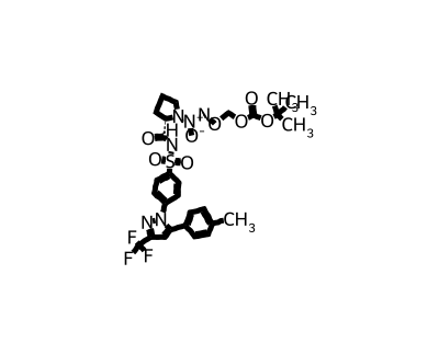 Cc1ccc(-c2cc(C(F)(F)F)nn2-c2ccc(S(=O)(=O)NC(=O)[C@@H]3CCCN3/[N+]([O-])=N/OCOC(=O)OC(C)(C)C)cc2)cc1